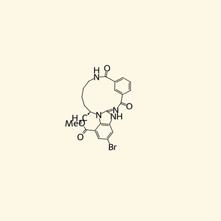 COC(=O)c1cc(Br)cc2c1N1/C(=N/C(=O)c3cccc(c3)C(=O)NCCCC[C@@H]1C)N2